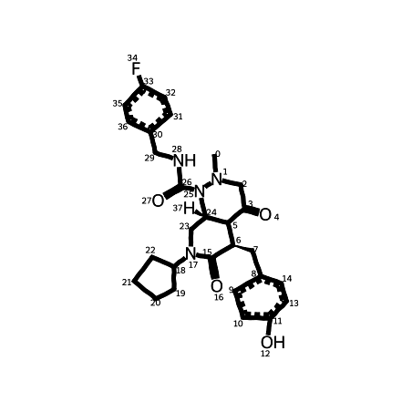 CN1CC(=O)C2[C@@H](Cc3ccc(O)cc3)C(=O)N(C3CCCC3)C[C@@H]2N1C(=O)NCc1ccc(F)cc1